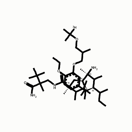 [2H]C(C)(C)OCC(C)COc1cc(C(C)[C@H](C(C)CC)C(C)[C@](C)(N)[C@H](C[C@](C)(C(=O)NCC(C)(C(N)=O)C(C)(C)C)C(C)C(C)C)OC)ccc1OCC